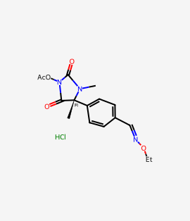 CCON=Cc1ccc([C@]2(C)C(=O)N(OC(C)=O)C(=O)N2C)cc1.Cl